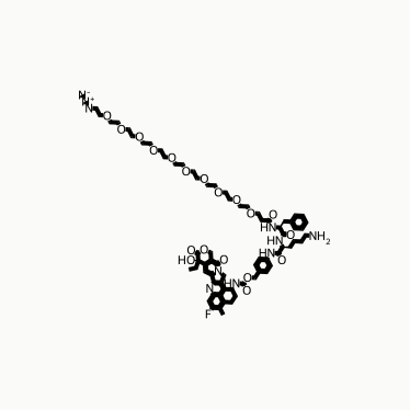 CC[C@@]1(O)C(=O)OCc2c1cc1n(c2=O)Cc2c-1nc1cc(F)c(C)c3c1c2[C@@H](NC(=O)OCc1ccc(NC(=O)[C@H](CCCCN)NC(=O)[C@H](Cc2ccccc2)NC(=O)CCOCCOCCOCCOCCOCCOCCOCCOCCOCCOCCN=[N+]=[N-])cc1)CC3